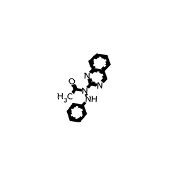 CC(=O)N(Nc1ccccc1)c1ncc2ccccc2n1